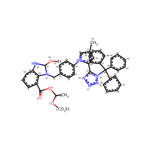 CCOC(=O)OC(C)OC(=O)c1cccc2c1N(Cc1ccc(-n3cc(C)cc3-c3nnnn3C(c3ccccc3)(c3ccccc3)c3ccccc3)cc1)C(OCC)N2